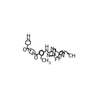 C#CCn1cc(-c2cnc3c(Nc4ccc(C(=O)N5CCN(C(=O)C6CCNCC6)CC5)c(CC)c4)nccn23)c(C(F)(F)F)n1